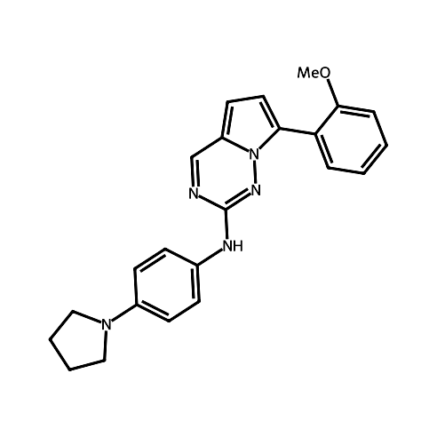 COc1ccccc1-c1ccc2cnc(Nc3ccc(N4CCCC4)cc3)nn12